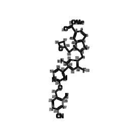 COC(=O)c1ccc2nc(Cc3cc(F)c(-c4ccnc(OCc5ccc(C#N)cc5F)n4)cc3F)n(CC3CCO3)c2c1